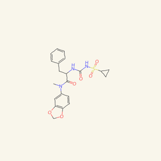 CN(C(=O)C(Cc1ccccc1)NC(=O)NS(=O)(=O)C1CC1)c1ccc2c(c1)OCO2